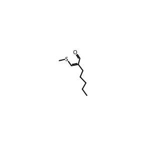 CCCCCC(C=O)=CSC